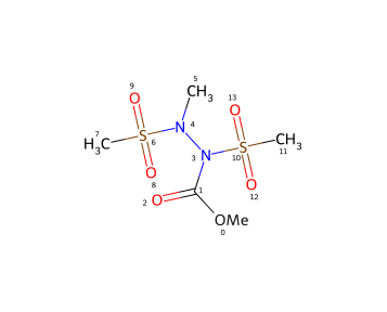 COC(=O)N(N(C)S(C)(=O)=O)S(C)(=O)=O